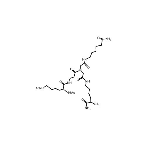 CC(=O)NCCCC[C@H](NC(C)=O)C(=O)NCCC(=O)N(CC(=O)NCCCCCC(N)=O)CC(=O)NCCCCC(C)C(N)=O